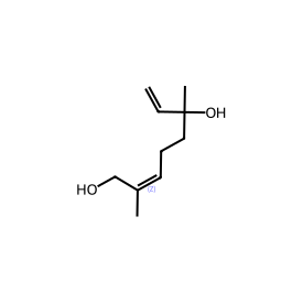 C=CC(C)(O)CC/C=C(/C)CO